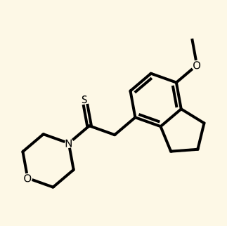 COc1ccc(CC(=S)N2CCOCC2)c2c1CCC2